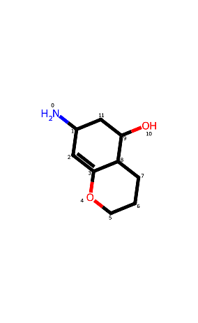 NC1C=C2OCCCC2C(O)C1